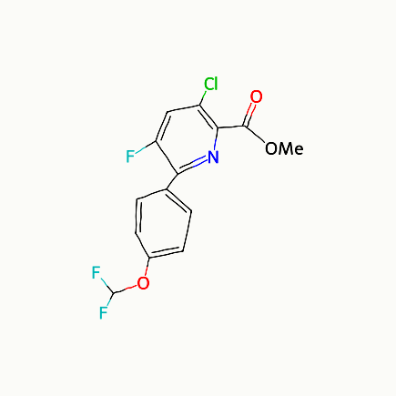 COC(=O)c1nc(-c2ccc(OC(F)F)cc2)c(F)cc1Cl